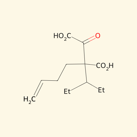 C=CCCC(C(=O)O)(C(=O)C(=O)O)C(CC)CC